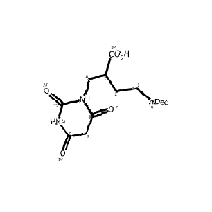 CCCCCCCCCCCCC(CN1C(=O)CC(=O)NC1=O)C(=O)O